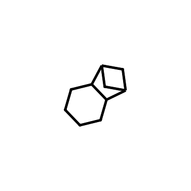 C1CCC2C3CC(C3)C2C1